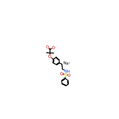 CC(C)(Oc1ccc(CCNS(=O)(=O)c2ccccc2)cc1)C(=O)[O-].[Na+]